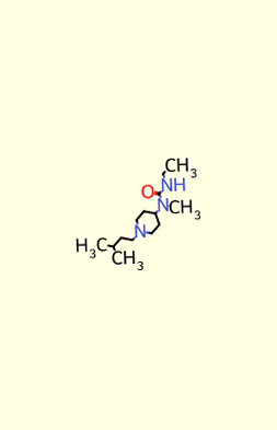 CCNC(=O)N(C)C1CCN(CCC(C)C)CC1